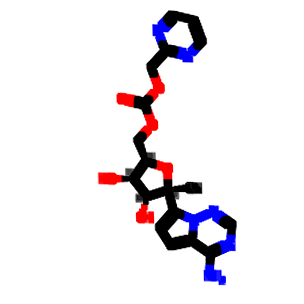 N#C[C@@]1(c2ccc3c(N)ncnn23)O[C@H](COC(=O)OCc2ncccn2)[C@@H](O)[C@H]1O